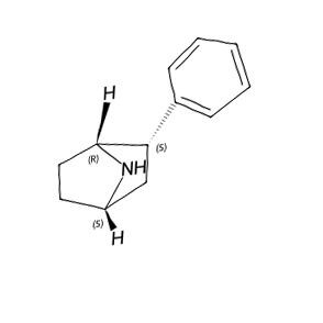 c1ccc([C@@H]2C[C@@H]3CC[C@H]2N3)cc1